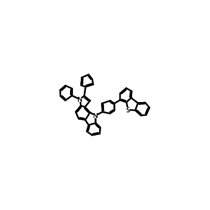 c1ccc(-c2cc3c(ccc4c5ccccc5n(-c5ccc(-c6cccc7c6sc6ccccc67)cc5)c43)n2-c2ccccc2)cc1